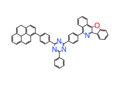 C1=CC2=CCc3ccc(-c4ccc(-c5nc(-c6ccccc6)nc(-c6ccc(-c7nc8c9ccccc9oc8c8ccccc78)cc6)n5)cc4)c4c3C2C(=C1)C=C4